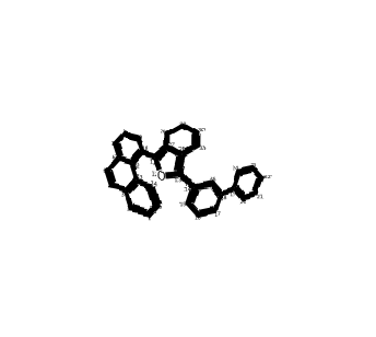 c1ccc2ccc3cccc(-c4oc(-c5cccc(-c6ccccc6)c5)c5c4CCC=C5)c3c2c#1